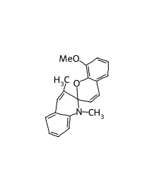 COc1cccc2c1OC1(C=C2)C(C)=Cc2ccccc2N1C